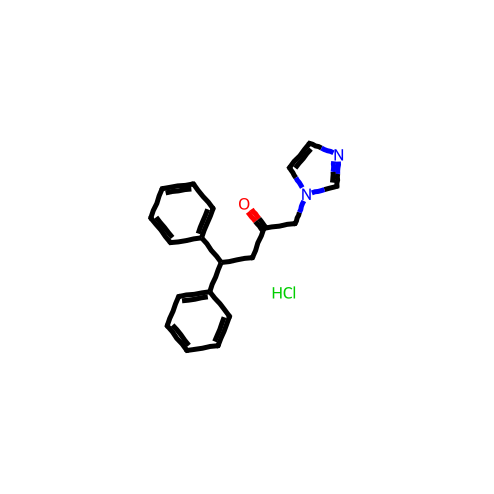 Cl.O=C(CC(c1ccccc1)c1ccccc1)Cn1ccnc1